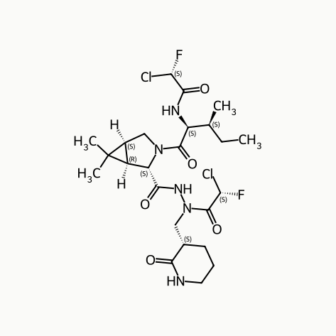 CC[C@H](C)[C@H](NC(=O)[C@@H](F)Cl)C(=O)N1C[C@H]2[C@@H]([C@H]1C(=O)NN(C[C@@H]1CCCNC1=O)C(=O)[C@@H](F)Cl)C2(C)C